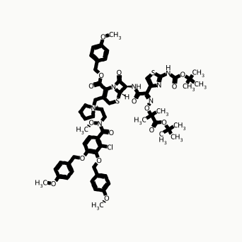 COc1ccc(COC(=O)C2=C(C[N+]3(CCN(OC)C(=O)c4ccc(OCc5ccc(OC)cc5)c(OCc5ccc(OC)cc5)c4Cl)CCCC3)CS[C@@H]3[C@H](NC(=O)/C(=N\OC(C)(C)C(=O)OC(C)(C)C)c4csc(NC(=O)OC(C)(C)C)n4)C(=O)N23)cc1